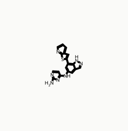 Nc1nccc(Nc2cc(-c3cc4cccnc4s3)c3[nH]ncc3c2)n1